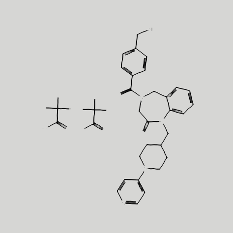 NCc1ccc(C(=O)N2CC(=O)N(CC3CCN(c4ccncc4)CC3)c3ccccc3C2)cc1.O=C(O)C(F)(F)F.O=C(O)C(F)(F)F